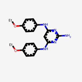 CCOc1ccc(Nc2cc(Nc3ccc(OCC)cc3)nc(N)n2)cc1